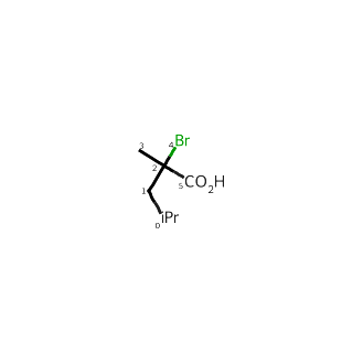 CC(C)CC(C)(Br)C(=O)O